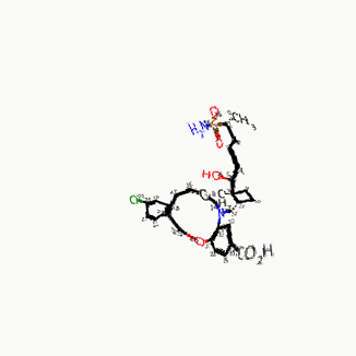 C[C@H](C/C=C/[C@H](O)[C@@]1(C)CC[C@@H]1CN1CCCCc2cc(Cl)ccc2COc2ccc(C(=O)O)cc21)S(N)(=O)=O